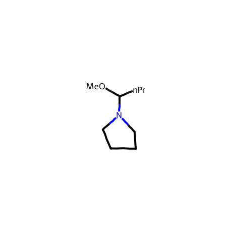 CCCC(OC)N1CCCC1